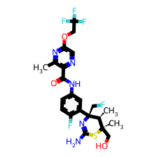 Cc1nc(OCC(F)(F)F)cnc1C(=O)Nc1ccc(F)c([C@@]2(CF)N=C(N)S[C@](C)(CO)[C@H]2C)c1